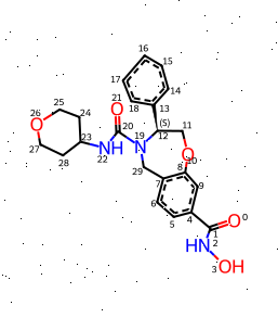 O=C(NO)c1ccc2c(c1)OC[C@H](c1ccccc1)N(C(=O)NC1CCOCC1)C2